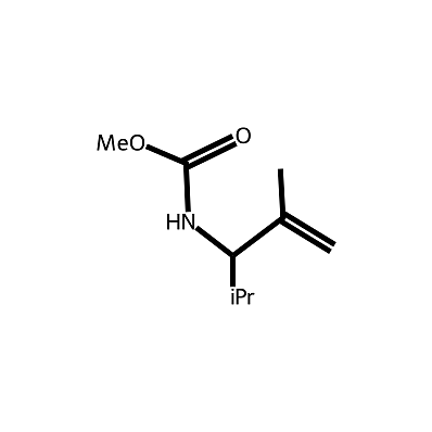 C=C(C)C(NC(=O)OC)C(C)C